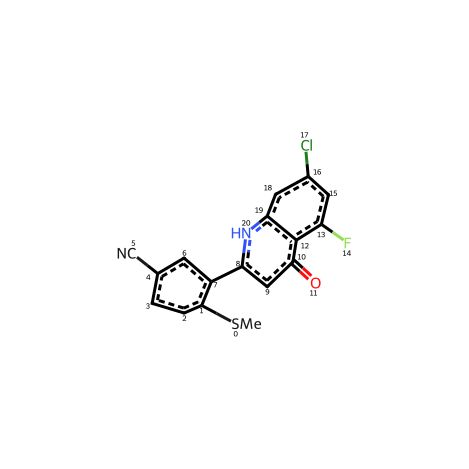 CSc1ccc(C#N)cc1-c1cc(=O)c2c(F)cc(Cl)cc2[nH]1